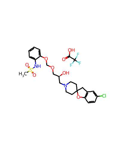 CS(=O)(=O)Nc1ccccc1OCOC[C@@H](O)CN1CCC2(CC1)Cc1cc(Cl)ccc1O2.O=C(O)C(F)(F)F